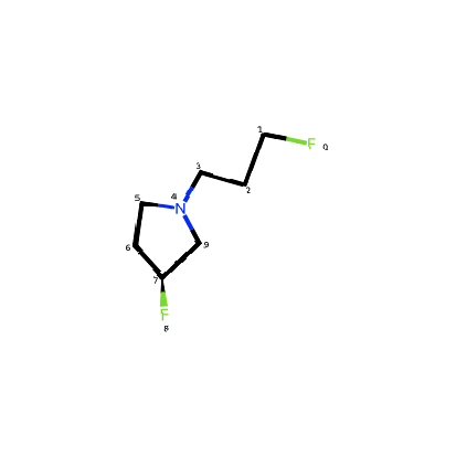 FCCCN1CC[C@H](F)C1